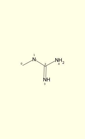 C[N]C(=N)N